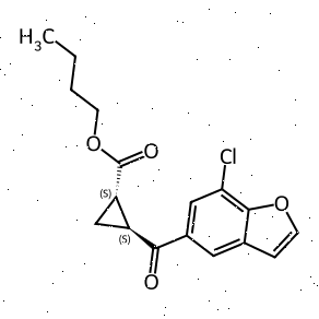 CCCCOC(=O)[C@H]1C[C@@H]1C(=O)c1cc(Cl)c2occc2c1